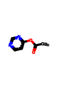 CC(C)COC(=O)Oc1ccncn1